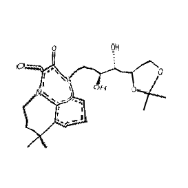 CC1(C)OC[C@H]([C@@H](O)[C@@H](O)Cn2c(=O)c(=O)n3c4c(cccc42)C(C)(C)CC3)O1